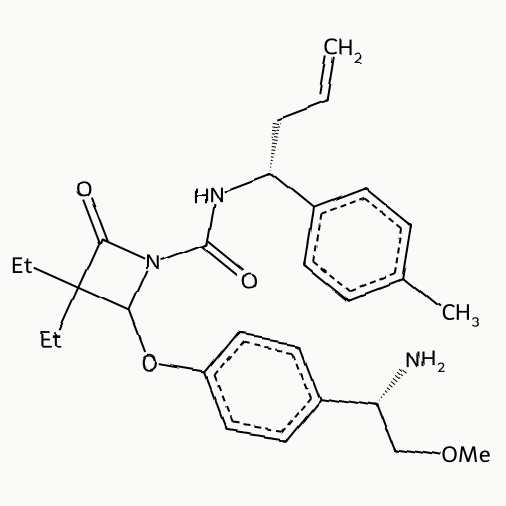 C=CC[C@@H](NC(=O)N1C(=O)C(CC)(CC)C1Oc1ccc([C@H](N)COC)cc1)c1ccc(C)cc1